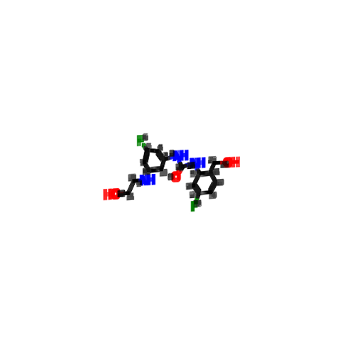 O=C(Nc1cc(F)cc(NCCO)c1)Nc1cc(F)ccc1CO